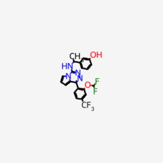 CC(Nc1nnc(-c2ccc(C(F)(F)F)cc2OC(F)F)c2cccn12)c1cccc(O)c1